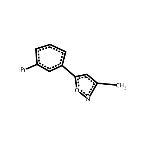 Cc1cc(-c2cccc(C(C)C)c2)on1